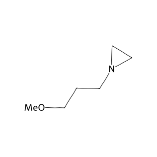 COCCCN1CC1